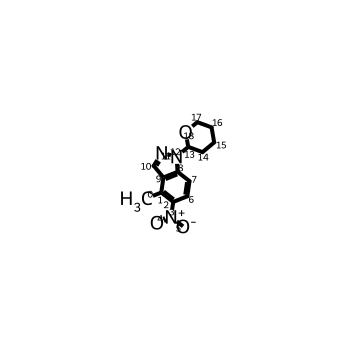 Cc1c([N+](=O)[O-])ccc2c1cnn2C1CCCCO1